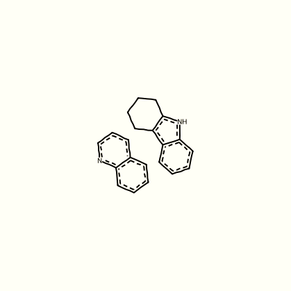 c1ccc2c3c([nH]c2c1)CCCC3.c1ccc2ncccc2c1